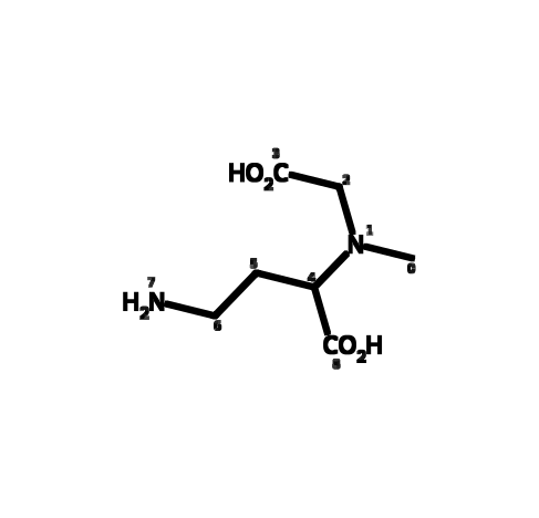 CN(CC(=O)O)C(CCN)C(=O)O